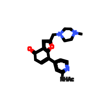 CC(=O)Nc1cc(C2=CCC(=O)c3cc(CN4CCN(C)CC4)oc32)ccn1